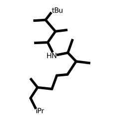 CC(C)CC(C)CCCC(C)C(C)NC(C)C(C)C(C)C(C)(C)C